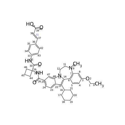 CCOc1ccc2c(c1)N(C)CCn1c-2c(C2CCCCC2)c2ccc(C(=O)NC3(C(=O)Nc4ccc(/C=C/C(=O)O)cc4)CCC3)cc21